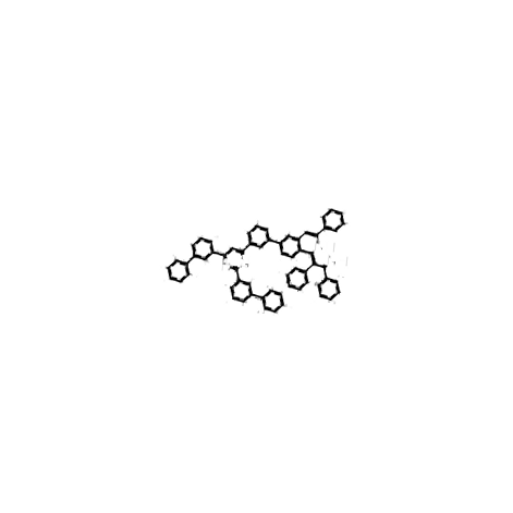 N=C(/C(=C1\NC(c2ccccc2)=Cc2cc(-c3cccc(-c4cc(-c5cccc(-c6ccccc6)c5)nc(-c5cccc(-c6ccccc6)c5)n4)c3)ccc21)c1ccccc1)c1ccccc1